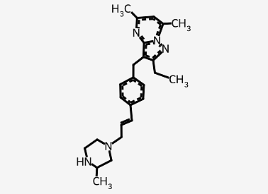 CCc1nn2c(C)cc(C)nc2c1Cc1ccc(C=CCN2CCNC(C)C2)cc1